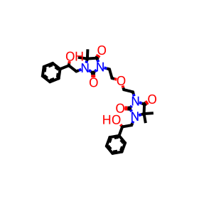 CC1(C)C(=O)N(CCOCCN2C(=O)N(CC(O)c3ccccc3)C(C)(C)C2=O)C(=O)N1CC(O)c1ccccc1